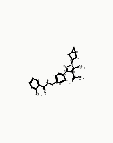 Cc1ccccc1C(=O)NCc1ccc(-c2nn(C3CC4CC4C3)c(N)c2C(N)=O)cc1